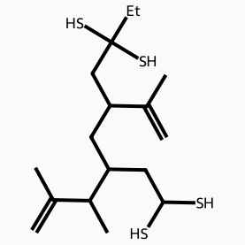 C=C(C)C(CC(CC(S)S)C(C)C(=C)C)CC(S)(S)CC